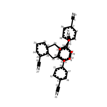 N#Cc1ccc(-c2ccc(-c3ccc(C#N)cc3)c3c2C2c4cccc(C#N)c4C3c3cccc(C#N)c32)cc1